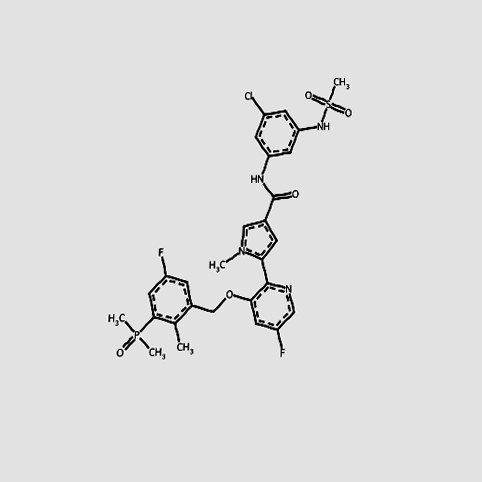 Cc1c(COc2cc(F)cnc2-c2cc(C(=O)Nc3cc(Cl)cc(NS(C)(=O)=O)c3)cn2C)cc(F)cc1P(C)(C)=O